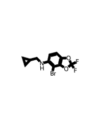 FC1(F)Oc2ccc(NCC3CC3)c(Br)c2O1